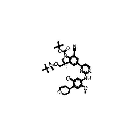 COc1cc(C2CCOCC2)c(Cl)cc1Nc1nccc(-c2cc(C#N)c3c(c2)[C@@](C)(CO[Si](C)(C)C(C)(C)C)CN3C(=O)OC(C)(C)C)n1